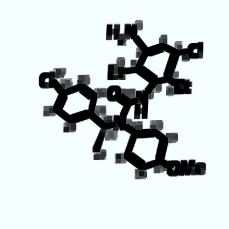 CCc1c(N)cc(Cl)c(CC)c1NC(=O)N(c1ccc(OC)cc1)[C@@H](C)c1ccc(Cl)cc1